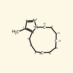 Cc1cnn2c1CCCCCCCCCC2